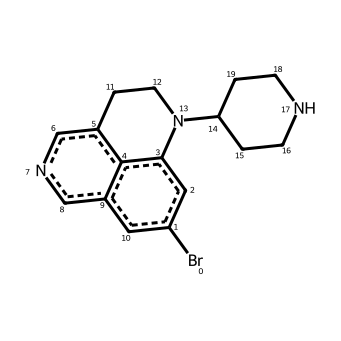 Brc1cc2c3c(cncc3c1)CCN2C1CCNCC1